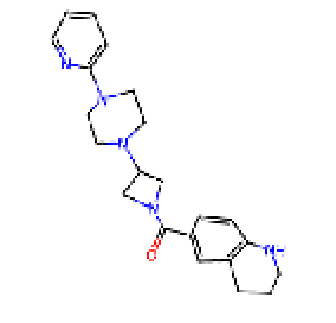 O=C(c1ccc2c(c1)CCCN2)N1CC(N2CCN(c3ccccn3)CC2)C1